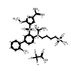 CSc1sc(C(=N)N)cc1S(=O)(=O)c1cc(-c2ccccc2C)ccc1N(CCCCS(C)(=O)=O)C(=N)N.O=C(O)C(F)(F)F